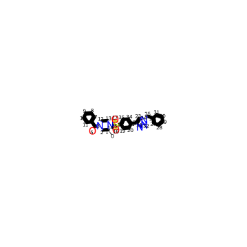 C[C@@H]1CN(C(=O)c2ccccc2)CCN1S(=O)(=O)c1ccc(-c2cn(Cc3ccccc3)nn2)cc1